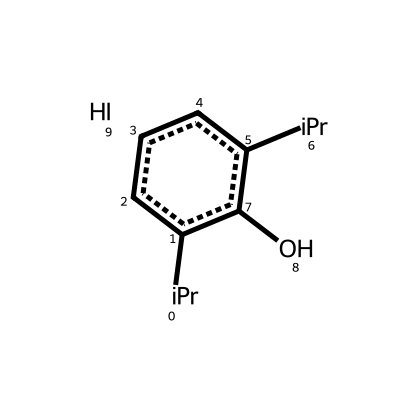 CC(C)c1cccc(C(C)C)c1O.I